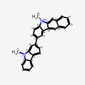 Cn1c2ccccc2c2ccc(-c3ccc4c(c3)c3cc5ccccc5cc3n4C)cc21